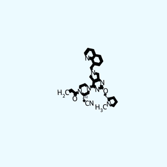 C=CC(=O)N1CCN(c2nc(OC[C@@H]3CCCN3C)nc3c2CN(Cc2cccc4cccnc24)C3)C[C@@H]1CC#N